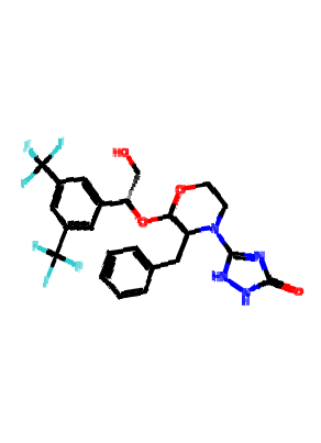 O=c1nc(N2CCOC(O[C@@H](CO)c3cc(C(F)(F)F)cc(C(F)(F)F)c3)C2Cc2ccccc2)[nH][nH]1